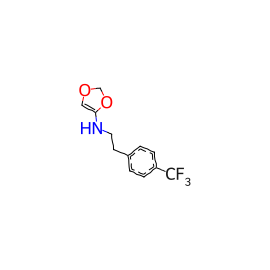 FC(F)(F)c1ccc(CCNC2=COCO2)cc1